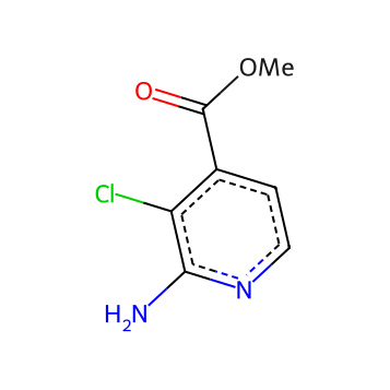 COC(=O)c1ccnc(N)c1Cl